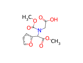 COC(=O)C(c1ccco1)N(CC(=O)O)C(=O)OC